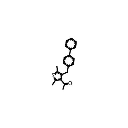 CC(=O)c1c(C)sc(C)c1Cc1ccc(-c2ccccc2)cc1